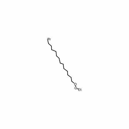 CCOOCCCCCCCCCCCCCC(C)C